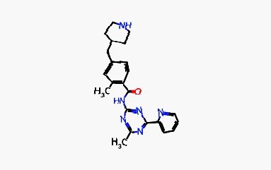 Cc1nc(NC(=O)c2ccc(CC3CCNCC3)cc2C)nc(-c2ccccn2)n1